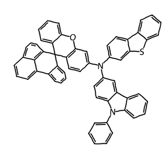 c1ccc(-n2c3ccccc3c3cc(N(c4ccc5c(c4)Oc4ccccc4C54c5ccccc5-c5cccc6cccc4c56)c4ccc5c(c4)sc4ccccc45)ccc32)cc1